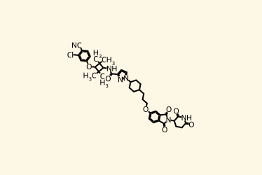 CC1(C)C(NC(=O)c2ccn(C3CCC(CCCOc4ccc5c(c4)C(=O)N(C4CCC(=O)NC4=O)C5=O)CC3)n2)C(C)(C)C1Oc1ccc(C#N)c(Cl)c1